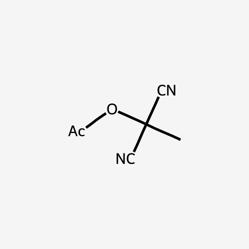 CC(=O)OC(C)(C#N)C#N